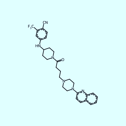 N#Cc1ccc(NC2CCN(C(=O)CCCN3CCN(c4ccc5ccccc5n4)CC3)CC2)cc1C(F)(F)F